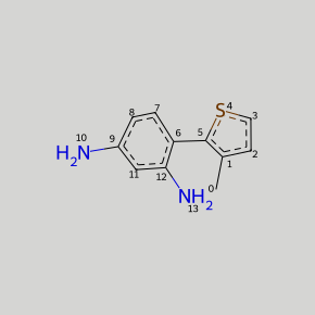 Cc1ccsc1-c1ccc(N)cc1N